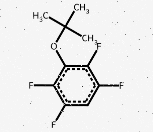 CC(C)(C)Oc1c(F)c(F)cc(F)c1F